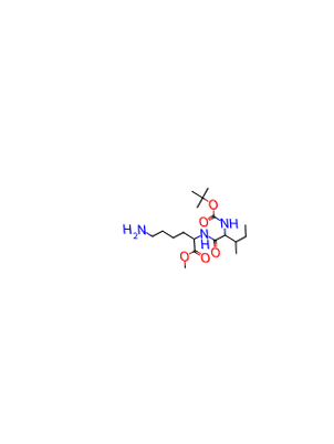 CCC(C)C(NC(=O)OC(C)(C)C)C(=O)NC(CCCCN)C(=O)OC